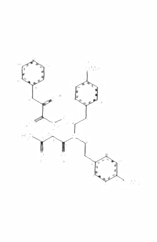 COc1ccc(CCN(CCc2ccc(OC)cc2)C(=O)[C@H](C(N)=O)N(C(C)=O)C(=O)C(=S)Cc2ccccc2)cc1